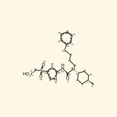 C[C@H]1CC[C@H](N(CCCSc2ccccc2)C(=O)Nc2ncc(S(=O)(=O)CC(=O)O)s2)CC1